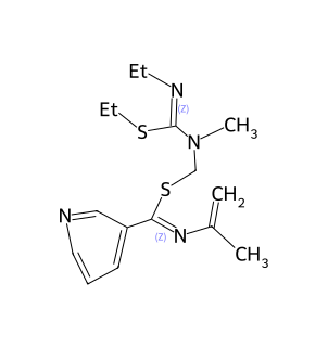 C=C(C)/N=C(\SCN(C)/C(=N/CC)SCC)c1cccnc1